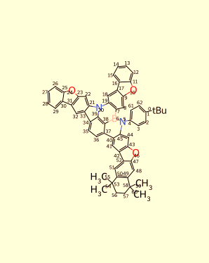 CC(C)(C)c1ccc(N2B3c4cc5oc6ccccc6c5cc4-n4c5cc6oc7ccccc7c6cc5c5ccc(c3c54)-c3cc4c(cc32)oc2cc3c(cc24)C(C)(C)CCC3(C)C)cc1